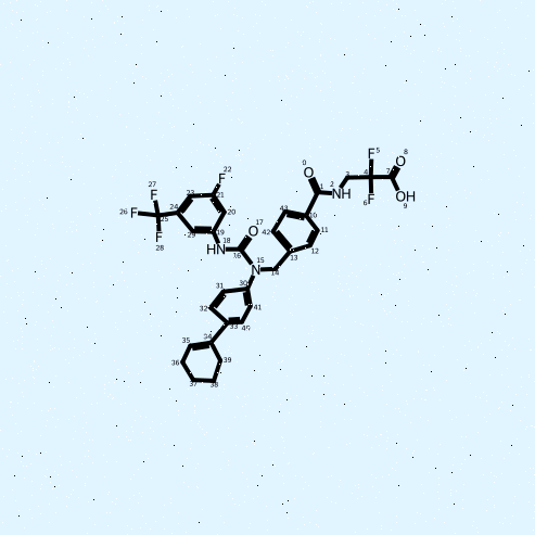 O=C(NCC(F)(F)C(=O)O)c1ccc(CN(C(=O)Nc2cc(F)cc(C(F)(F)F)c2)c2ccc(C3=CCCCC3)cc2)cc1